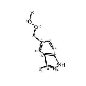 COOCc1ccc2[nH]nc(C)c2c1